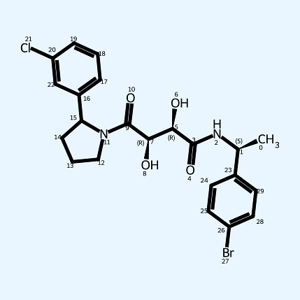 C[C@H](NC(=O)[C@H](O)[C@@H](O)C(=O)N1CCCC1c1cccc(Cl)c1)c1ccc(Br)cc1